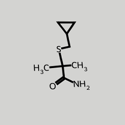 CC(C)(SCC1CC1)C(N)=O